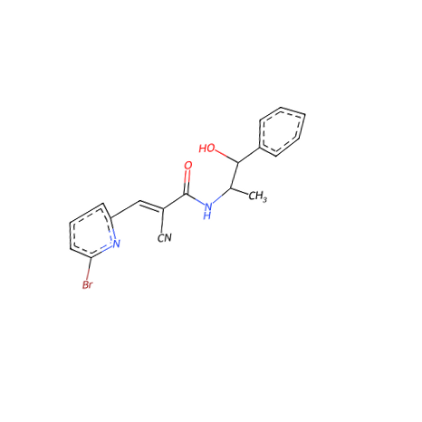 CC(NC(=O)/C(C#N)=C/c1cccc(Br)n1)C(O)c1ccccc1